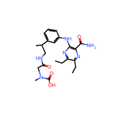 CCc1nc(Nc2cccc(C(C)CNC(=O)CN(C)C(=O)O)c2)c(C(N)=O)nc1CC